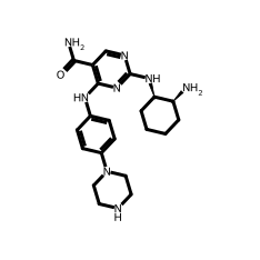 NC(=O)c1cnc(N[C@@H]2CCCC[C@@H]2N)nc1Nc1ccc(N2CCNCC2)cc1